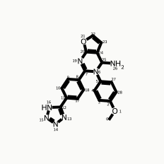 COc1ccc(N2C(c3ccc(-c4nnn[nH]4)cc3)=Nc3occc3C2N)cc1